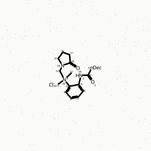 CCCCCCCCCCC(=O)Nc1ccccc1[N+](C)(C)CN1CCCC1=O.[Cl-]